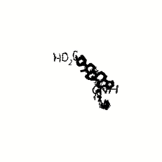 CC1C(c2ccc(C(=O)O)cc2)=CC[C@@]2(C)C1CCC1(C)C2CCC2C3CCC[C@]3(NC(=O)N(C)CCN3CCCC3)CC[C@]21C